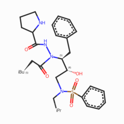 CC[C@H](C)CC(=O)N(NC(=O)C1CCCN1)[C@@H](Cc1ccccc1)[C@H](O)CN(CC(C)C)S(=O)(=O)c1ccccc1